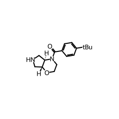 CC(C)(C)c1ccc(C(=O)N2CCO[C@@H]3CNC[C@H]32)cc1